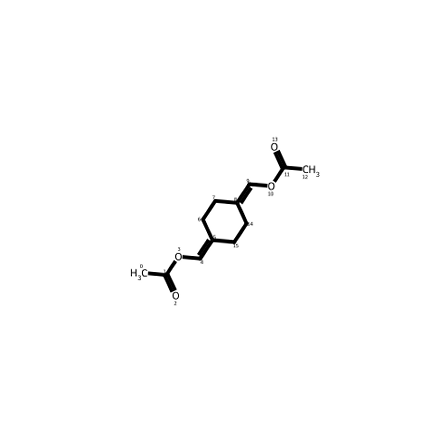 CC(=O)OC=C1CCC(=COC(C)=O)CC1